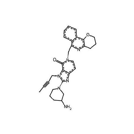 CC#CCn1c(N2CCCC(N)C2)nc2ccn(Cc3nc4c(c5ccccc35)OCCC4)c(=O)c21